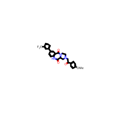 COc1ccc(C(=O)CN2CCN3C(=O)c4cc(-c5cccc(C(F)(F)F)c5)ccc4NC(=O)C3C2)cc1